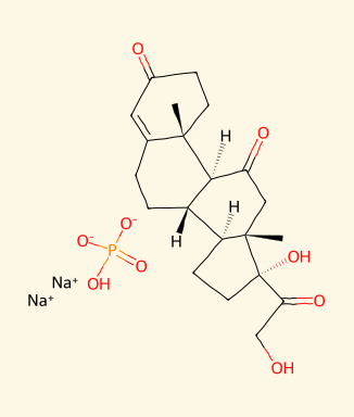 C[C@]12CCC(=O)C=C1CC[C@@H]1[C@@H]2C(=O)C[C@@]2(C)[C@H]1CC[C@]2(O)C(=O)CO.O=P([O-])([O-])O.[Na+].[Na+]